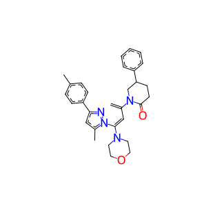 C=C(/C=C(/N1CCOCC1)n1nc(-c2ccc(C)cc2)cc1C)N1CC(c2ccccc2)CCC1=O